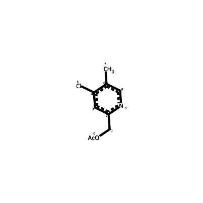 CC(=O)OCc1cc(Cl)c(C)cn1